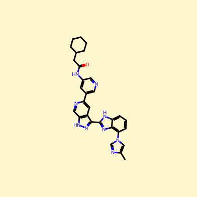 Cc1cn(-c2cccc3[nH]c(-c4n[nH]c5cnc(-c6cncc(NC(=O)CC7CCCCC7)c6)cc45)nc23)cn1